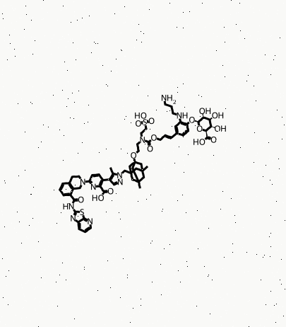 Cc1c(-c2ccc(N3CCc4cccc(C(=O)Nc5nc6cccnc6s5)c4C3)nc2C(=O)O)cnn1CC12CC3(C)CC(C)(C1)CC(OCCN(CCS(=O)(=O)O)C(=O)OC/C=C/c1ccc(O[C@@H]4O[C@H](C(=O)O)[C@@H](O)[C@H](O)[C@H]4O)c(NCCCN)c1)(C3)C2